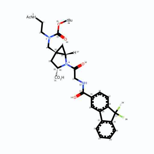 CC(=O)NCCN(C[C@@]12C[C@@H]1N(C(=O)CNC(=O)c1ccc3c(c1)-c1ccccc1C3(F)F)[C@H](C(=O)O)C2)C(=O)OC(C)(C)C